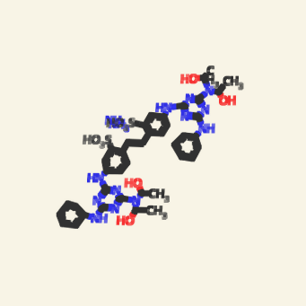 CC(O)N(c1nc(Nc2ccccc2)nc(Nc2ccc(C=Cc3ccc(Nc4nc(Nc5ccccc5)nc(N(C(C)O)C(C)O)n4)cc3S(=O)(=O)O)c(S(=O)(=O)O)c2)n1)C(C)O.N.N